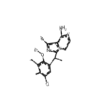 CCOc1c(C(C)c2nc(Br)c3c(N)nccn23)cc(Cl)c(C)c1C